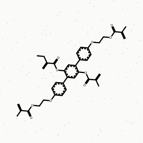 C=C(C)C(=O)OCCOc1ccc(-c2cc(OC(=O)C(=C)CC)c(-c3ccc(OCCOC(=O)C(=C)C)cc3)cc2OC(=O)C(=C)C)cc1